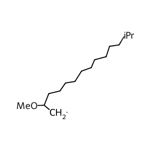 [CH2]C(CCCCCCCCCCC(C)C)OC